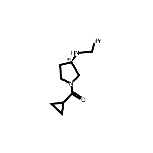 CC(C)CN[C@@H]1CCN(C(=O)C2CC2)C1